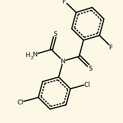 NC(=S)N(C(=S)c1cc(F)ccc1F)c1cc(Cl)ccc1Cl